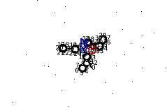 CC1(C)c2ccccc2-c2cc(N(c3ccc(-c4ccccc4)cc3)c3nccc4c3oc3ccc5ccccc5c34)ccc21